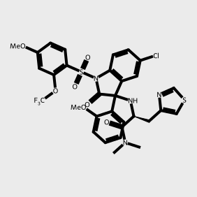 COc1ccc(S(=O)(=O)N2C(=O)C(N[C@@H](Cc3cscn3)C(=O)N(C)C)(c3ccccc3OC)c3cc(Cl)ccc32)c(OC(F)(F)F)c1